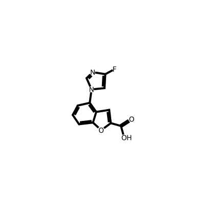 O=C(O)c1cc2c(-n3cnc(F)c3)cccc2o1